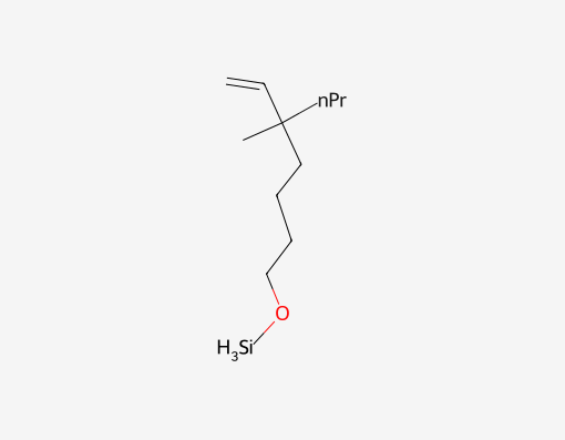 C=CC(C)(CCC)CCCCO[SiH3]